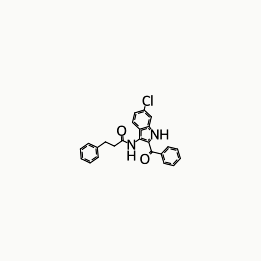 O=C(CCc1ccccc1)Nc1c(C(=O)c2ccccc2)[nH]c2cc(Cl)ccc12